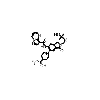 C[C@H](CN1Cc2cc(NC(=O)c3cnn4cccnc34)c(N3CCC([C@H](O)C(F)(F)F)CC3)cc2C1=O)C(C)(C)O